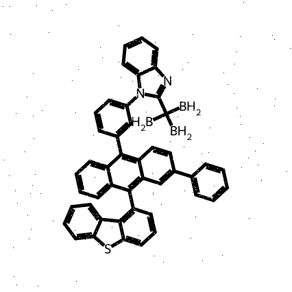 BC(B)(B)c1nc2ccccc2n1-c1cccc(-c2c3ccccc3c(-c3cccc4sc5ccccc5c34)c3cc(-c4ccccc4)ccc23)c1